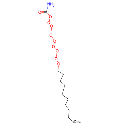 CCCCCCCCCCCCCCCCCCCOOOOOOOOOC(N)=O